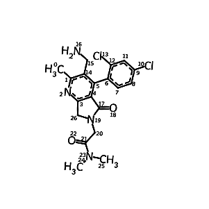 Cc1nc2c(c(-c3ccc(Cl)cc3Cl)c1CN)C(=O)N(CC(=O)N(C)C)C2